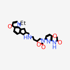 CCn1ccc(=O)c2ccc3c(c21)CC(CNCCC1CN(c2ccc4c(n2)NC(=O)CO4)C(=O)O1)C3